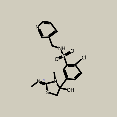 C/N=C1\SCC(O)(c2ccc(Cl)c(S(=O)(=O)NCc3cccnc3)c2)N1C